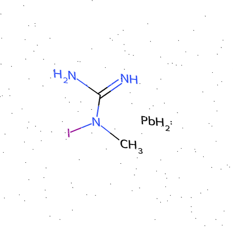 CN(I)C(=N)N.[PbH2]